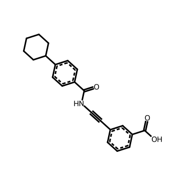 O=C(O)c1cccc(C#CNC(=O)c2ccc(C3CCCCC3)cc2)c1